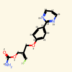 NC(=O)OCC(=CF)COc1ccc(-c2ncccn2)cc1